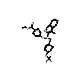 CCOC(=O)c1ccc(ON(Cc2ccc(OC(F)(F)F)cc2)c2ncc3ccccc3c2C)cc1